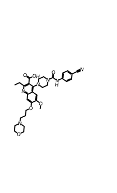 CCc1nc2cc(OCCCN3CCOCC3)c(OC)cc2c(N2CCN(C(=O)Nc3ccc(C#N)cc3)CC2)c1C(=O)O